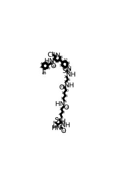 O=C(CCCC[C@@H]1SC[C@@H]2NC(=O)N[C@@H]21)NCCCCCC(=O)NCCCNc1nc2ccc(-c3cnc(Cl)c(NC(=O)c4cccc(F)c4)c3)cc2s1